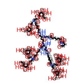 O=C(CC[C@H](NC(=O)CC[C@H](NC(=O)CNC(=O)CCCCC(=O)ON1C(=O)CCC1=O)C(=O)NCCCCCC(=O)N(CCO[C@H]1O[C@H](CO)[C@@H](O)[C@H](O)[C@@H]1O)CCO[C@H]1O[C@H](CO)[C@@H](O)[C@H](O)[C@@H]1O)C(=O)NCCCCCC(=O)N(CCO[C@H]1O[C@H](CO)[C@@H](O)[C@H](O)[C@@H]1O)CCO[C@H]1O[C@H](CO)[C@@H](O)[C@H](O)[C@@H]1O)NCCCCCC(=O)N(CCO[C@H]1O[C@H](CO)[C@@H](O)[C@H](O)[C@@H]1O)CCO[C@H]1O[C@H](CO)[C@@H](O)[C@H](O)[C@@H]1O